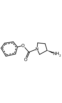 N[C@@H]1CCN(C(=O)Oc2ccccc2)C1